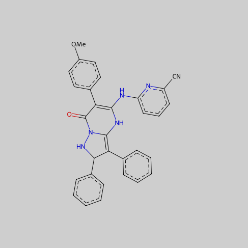 COc1ccc(C2=C(Nc3cccc(C#N)n3)NC3=C(c4ccccc4)C(c4ccccc4)NN3C2=O)cc1